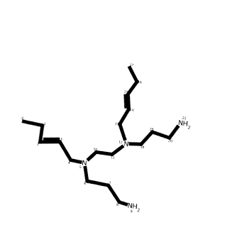 CCC=CCN(CCCN)CCN(CC=CCC)CCCN